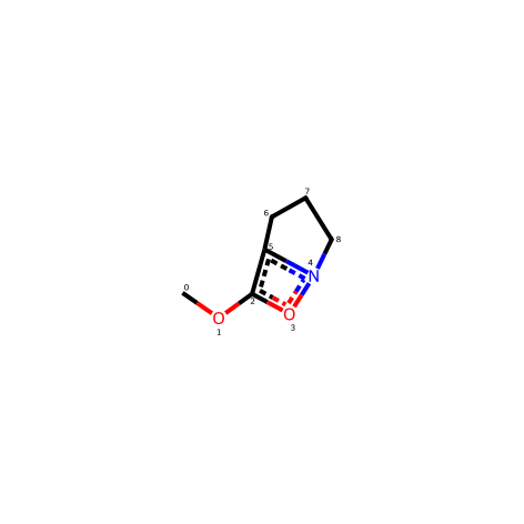 COc1on2c1CCC2